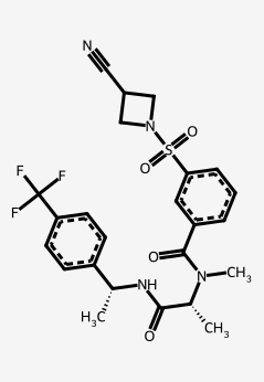 C[C@H](C(=O)N[C@H](C)c1ccc(C(F)(F)F)cc1)N(C)C(=O)c1cccc(S(=O)(=O)N2CC(C#N)C2)c1